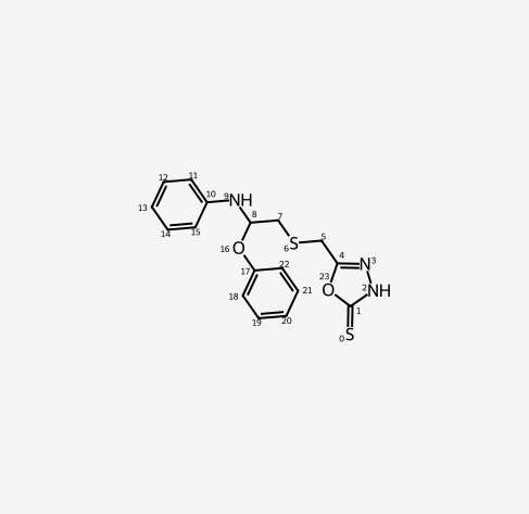 S=c1[nH]nc(CSCC(Nc2ccccc2)Oc2ccccc2)o1